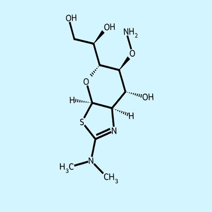 CN(C)C1=N[C@@H]2[C@@H](O)[C@H](ON)[C@@H]([C@H](O)CO)O[C@@H]2S1